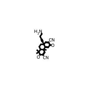 CC1(C)C(=O)C(C#N)=CC2(C)C3=CC(=O)C(C#N)=CC3(C#CCCN)CCC12